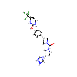 O=C(N1CC(c2ccc(Oc3nccc(C(F)(F)F)n3)cc2)C1)N1CC[C@H](n2cnnc2)C1